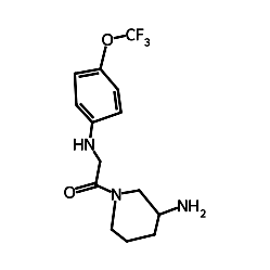 NC1CCCN(C(=O)CNc2ccc(OC(F)(F)F)cc2)C1